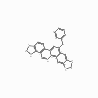 c1ccc(Cc2cc3c4ccc5c(c4cnc3c3cc4c(cc23)OCO4)OCO5)cc1